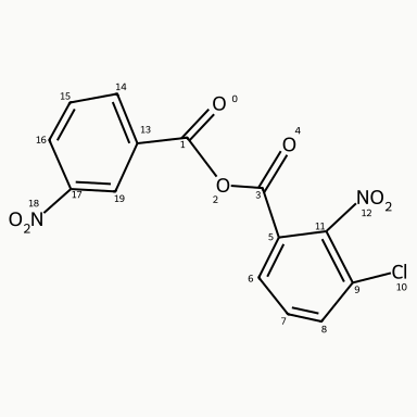 O=C(OC(=O)c1cccc(Cl)c1[N+](=O)[O-])c1cccc([N+](=O)[O-])c1